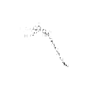 C=CCOc1ccc2c(=O)cc(-c3ccc(C(=O)NCCOCCOCCOCCOCCOCCN=[N+]=[N-])cc3)oc2c1OCC=C